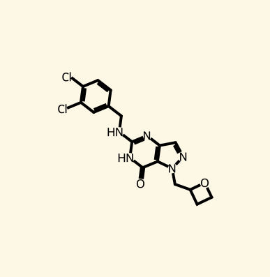 O=c1[nH]c(NCc2ccc(Cl)c(Cl)c2)nc2cnn(CC3CCO3)c12